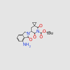 CC(C)(C)OC(=O)N1C(=O)C(N2Cc3cccc(N)c3C2=O)CC2(CC2)C1=O